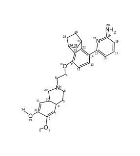 COC1=CC2CCN(CCOc3ccc(-c4cccc(N)n4)c4c3C3CCC4C3)CC2C=C1OC